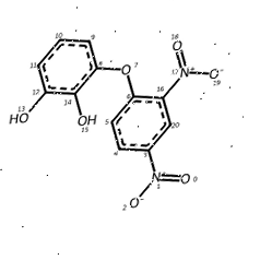 O=[N+]([O-])c1ccc(Oc2cccc(O)c2O)c([N+](=O)[O-])c1